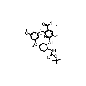 COc1cc(Nc2nc(N[C@@H]3CCCC[C@@H]3NC(=O)OC(C)(C)C)c(F)cc2C(N)=O)cc(OC)c1